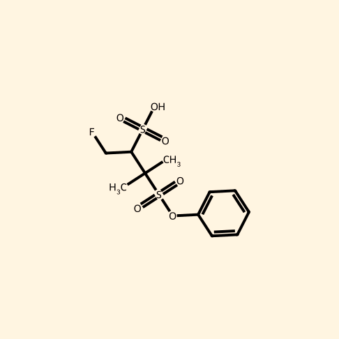 CC(C)(C(CF)S(=O)(=O)O)S(=O)(=O)Oc1ccccc1